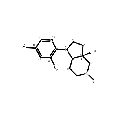 CN1CCC2[C@H](CCN2c2ncc(Cl)cc2Cl)C1